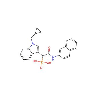 O=C(Nc1ccc2ccccc2c1)C(c1cn(CC2CC2)c2ccccc12)P(=O)(O)O